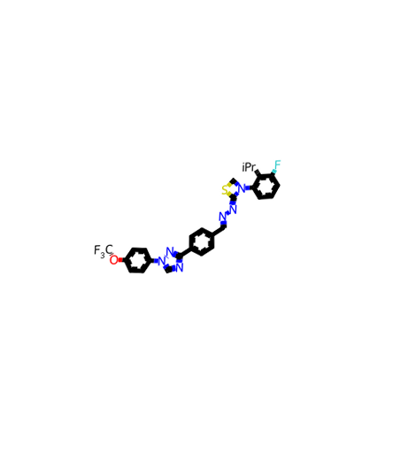 CC(C)c1c(F)cccc1N1CS/C1=N\N=C\c1ccc(-c2ncn(-c3ccc(OC(F)(F)F)cc3)n2)cc1